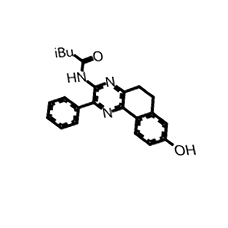 CCC(C)C(=O)Nc1nc2c(nc1-c1ccccc1)-c1ccc(O)cc1CC2